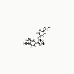 CCOc1ccc(Cn2cnnc2-c2ccc3[nH]cnc3c2)cc1